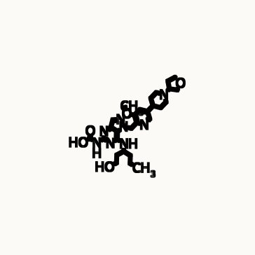 CCCC(CCO)Nc1nc(NC(=O)O)nc2cnn(Cc3ncc(C4CCN(C5CCOC5)CC4)cc3OC)c12